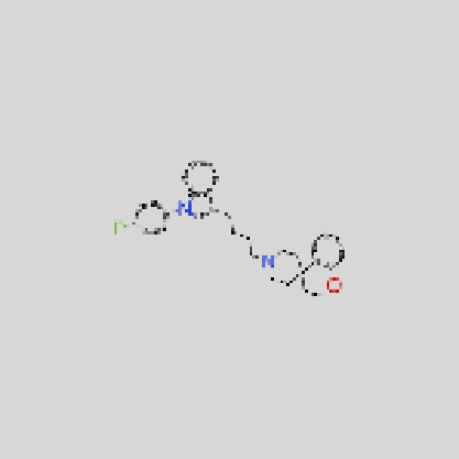 Fc1ccc(-n2cc(CCCCN3CCC4(CCOc5ccccc54)CC3)c3ccccc32)cc1